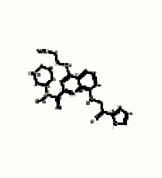 COCCOc1cc(C(=O)N(C(C)C)[C@@H]2CCCNC2)nc2c(OCC(=O)c3ccco3)cccc12